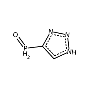 O=[PH2]c1c[nH]nn1